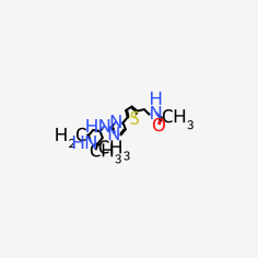 C=C1CC(Nc2nccc(-c3ccc(CCNC(C)=O)s3)n2)CC(C)(C)N1